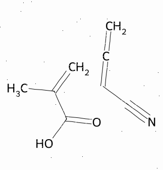 C=C(C)C(=O)O.C=C=CC#N